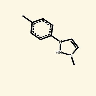 Cc1ccc(N2C=CN(C)N2)cc1